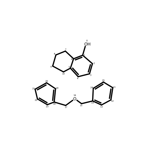 Oc1cccc2c1CCCC2.c1ccc(COCc2ccccc2)cc1